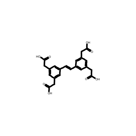 O=C(O)Cc1cc(/C=C/c2cc(CC(=O)O)cc(CC(=O)O)c2)cc(CC(=O)O)c1